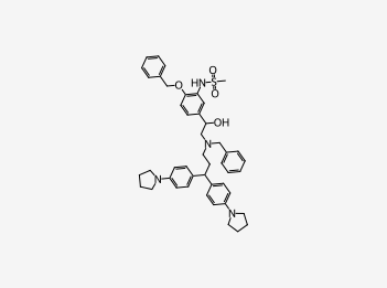 CS(=O)(=O)Nc1cc(C(O)CN(CCC(c2ccc(N3CCCC3)cc2)c2ccc(N3CCCC3)cc2)Cc2ccccc2)ccc1OCc1ccccc1